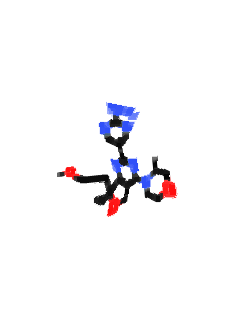 COCCC1(C)OCc2c(N3CCOCC3C)nc(-c3cnc(N)nc3)nc21